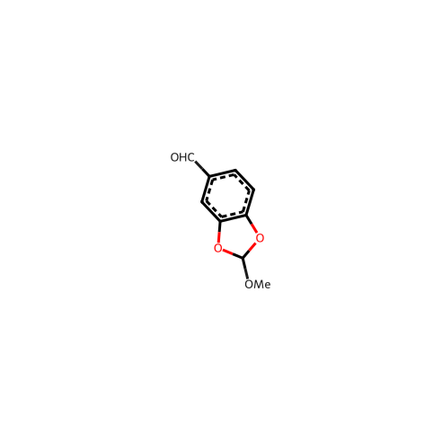 COC1Oc2ccc(C=O)cc2O1